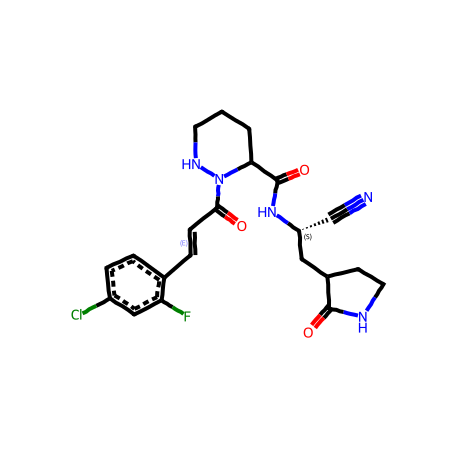 N#C[C@H](CC1CCNC1=O)NC(=O)C1CCCNN1C(=O)/C=C/c1ccc(Cl)cc1F